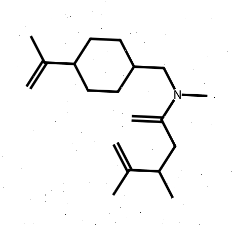 C=C(C)C(C)CC(=C)N(C)CC1CCC(C(=C)C)CC1